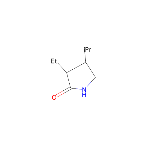 CCC1C(=O)NCC1C(C)C